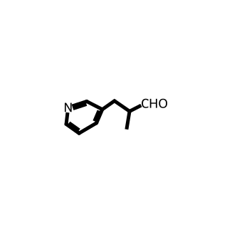 CC(C=O)Cc1cccnc1